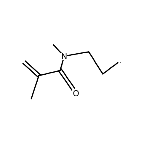 [CH2]CCN(C)C(=O)C(=C)C